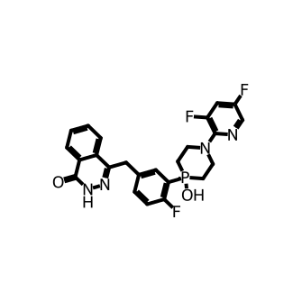 O=c1[nH]nc(Cc2ccc(F)c([P]3(O)CCN(c4ncc(F)cc4F)CC3)c2)c2ccccc12